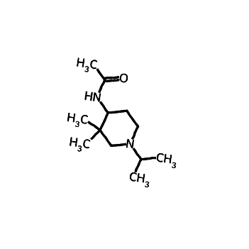 CC(=O)NC1CCN(C(C)C)CC1(C)C